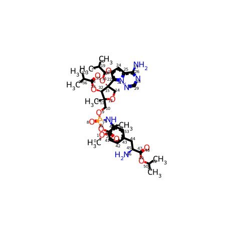 COC(=O)[C@H](C)N[P@@](=O)(OC[C@@]1(C)OC[C@](OC(=O)C(C)C)(c2ccc3c(N)ncnn23)[C@@H]1OC(=O)C(C)C)Oc1ccc(C[C@H](N)C(=O)OC(C)C)cc1